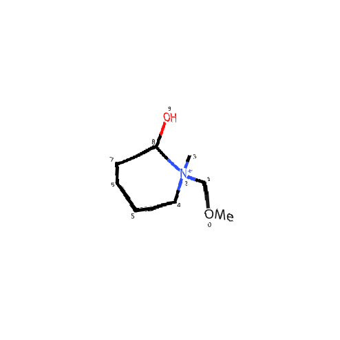 COC[N+]1(C)CCCCC1O